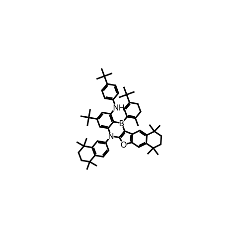 CC1=C(B2c3c(Nc4ccc(C(C)(C)C)cc4)cc(C(C)(C)C)cc3N(c3ccc4c(c3)C(C)(C)CCC4(C)C)c3oc4cc5c(cc4c32)C(C)(C)CCC5(C)C)C=C(C(C)(C)C)CC1